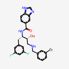 CCc1cccc(CNC[C@@H](O)[C@H](Cc2cc(F)cc(F)c2)NC(=O)c2ccc3[nH]cnc3c2)c1